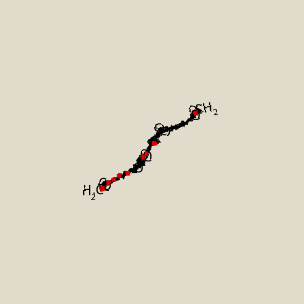 C=CC(=O)OCCCCCCCCCCCOC(=O)C#Cc1ccc(C#CC(=O)Oc2ccc(OCCCCCCCCCCCOC(=O)C=C)cc2)cc1